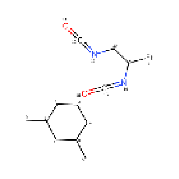 CC1CCCC(C)C1.CCC(CN=C=O)N=C=O